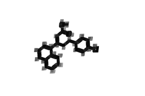 O=C(O)/C=C(\CCc1ccc(Cl)cc1)c1cccc2ccccc12